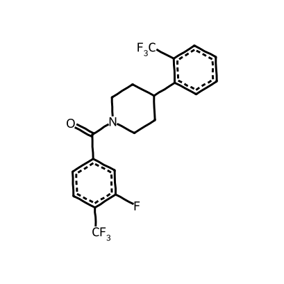 O=C(c1ccc(C(F)(F)F)c(F)c1)N1CCC(c2ccccc2C(F)(F)F)CC1